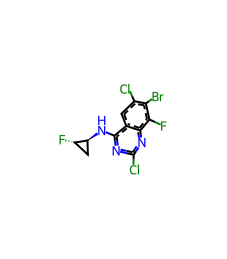 Fc1c(Br)c(Cl)cc2c(N[C@H]3C[C@@H]3F)nc(Cl)nc12